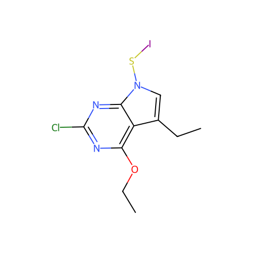 CCOc1nc(Cl)nc2c1c(CC)cn2SI